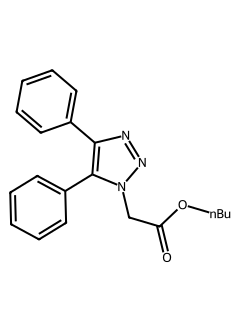 CCCCOC(=O)Cn1nnc(-c2ccccc2)c1-c1ccccc1